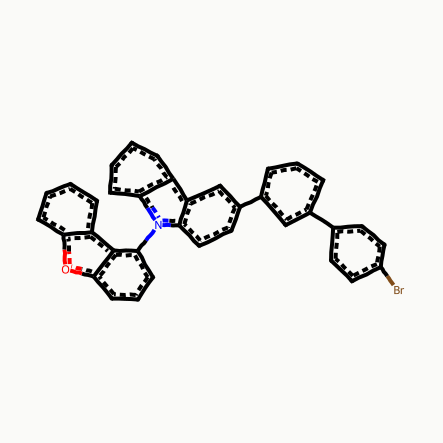 Brc1ccc(-c2cccc(-c3ccc4c(c3)c3ccccc3n4-c3cccc4oc5ccccc5c34)c2)cc1